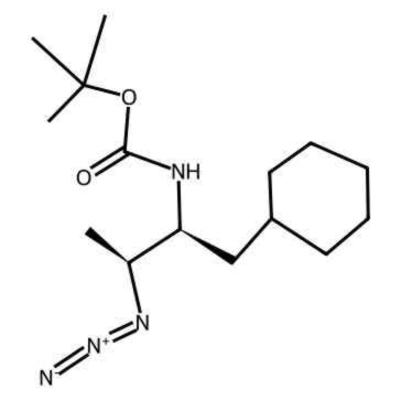 C[C@H](N=[N+]=[N-])[C@H](CC1CCCCC1)NC(=O)OC(C)(C)C